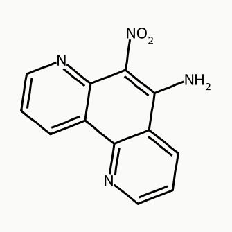 Nc1c([N+](=O)[O-])c2ncccc2c2ncccc12